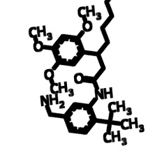 CCCCCC(CC(=O)Nc1cc(CN)ccc1C(C)(C)C)c1cc(OC)c(OC)cc1OC